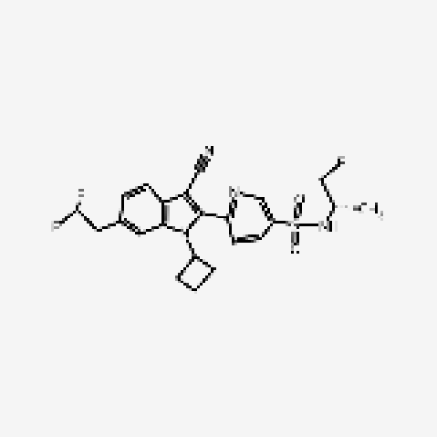 C[C@@H](CF)NS(=O)(=O)c1ccc(-c2c(C#N)c3ccc(CC(F)F)cc3n2C2CCC2)nc1